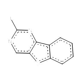 Ic1ncc2sc3ccccc3c2n1